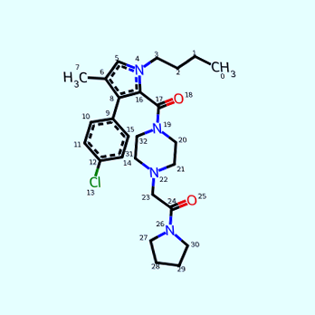 CCCCn1cc(C)c(-c2ccc(Cl)cc2)c1C(=O)N1CCN(CC(=O)N2CCCC2)CC1